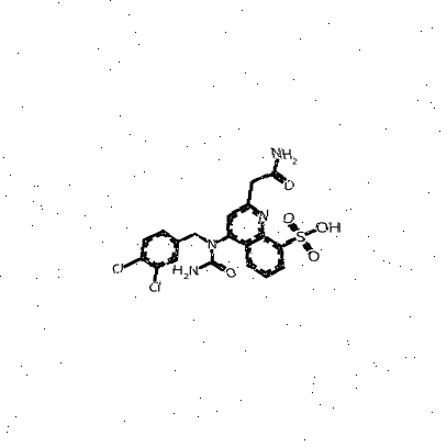 NC(=O)Cc1cc(N(Cc2ccc(Cl)c(Cl)c2)C(N)=O)c2cccc(S(=O)(=O)O)c2n1